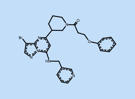 O=C(CCOc1ccccc1)N1CCCC(c2cc(NCc3cccnc3)n3ncc(Br)c3n2)C1